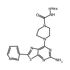 CCCCCCNC(=O)N1CCN(c2nc(N)nc3sc(-c4cccnc4)nc23)CC1